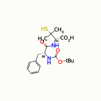 CC(C)(C)OC(=O)N[C@H](Cc1ccccc1)C(=O)N[C@@H](C(=O)O)C(C)(C)S